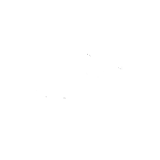 CCNc1cc(OC[C@@H]2CCCN2C)cnc1Cl